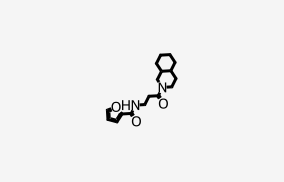 O=C(NCCC(=O)N1CCC2CCCCC2C1)c1ccco1